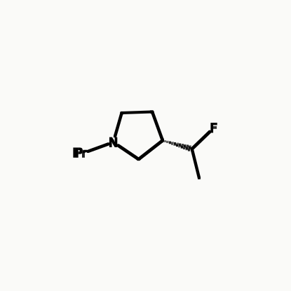 CC(F)[C@H]1CCN(C(C)C)C1